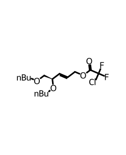 CCCCOC[C@@H](/C=C/COC(=O)C(F)(F)Cl)OCCCC